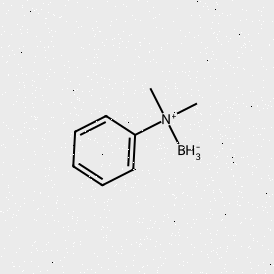 [BH3-][N+](C)(C)c1ccccc1